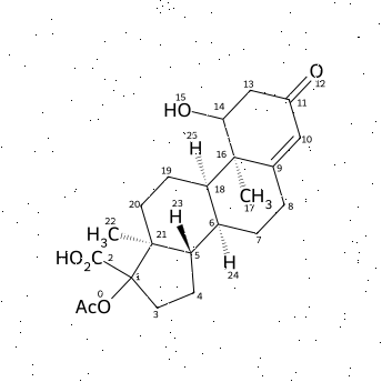 CC(=O)OC1(C(=O)O)CC[C@H]2[C@@H]3CCC4=CC(=O)CC(O)[C@]4(C)[C@@H]3CC[C@@]21C